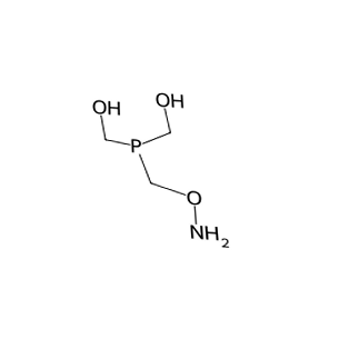 NOCP(CO)CO